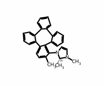 Cc1ccc2c(c1N1C=CN(C)[C@@H]1C)-c1ccccc1-c1ccccc1-c1ccccc1-2